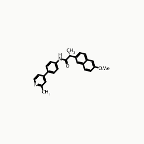 COc1ccc2cc([C@@H](C)C(=O)Nc3ccc(-c4ccnc(C)c4)cc3)ccc2c1